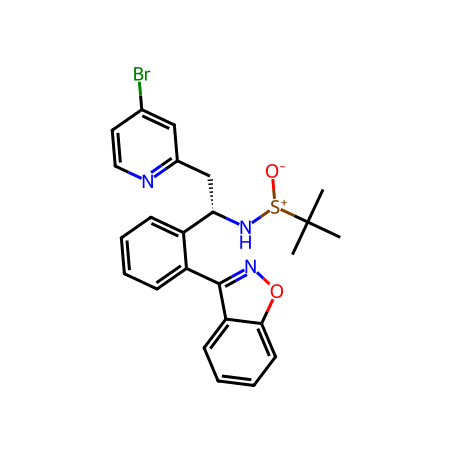 CC(C)(C)[S+]([O-])N[C@@H](Cc1cc(Br)ccn1)c1ccccc1-c1noc2ccccc12